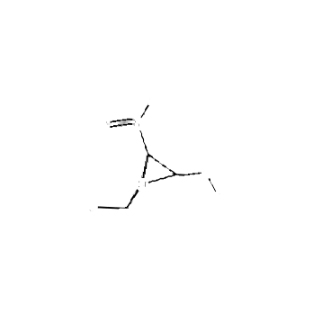 CCN1C(SC)C1[N+](=O)[O-]